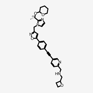 C[C@H](OC1CCCCO1)c1nccn1Cc1cc(-c2ccc(C#Cc3ccc(CNCC4CCO4)nc3)cc2)on1